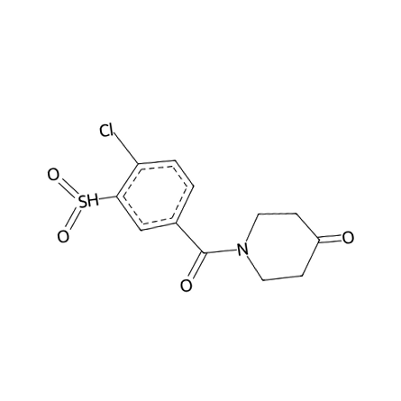 O=C1CCN(C(=O)c2ccc(Cl)c([SH](=O)=O)c2)CC1